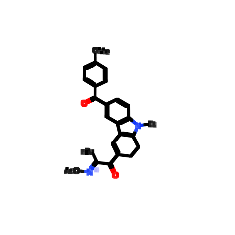 CCCC/C(=N\OC(C)=O)C(=O)C1=Cc2c(n(CC)c3ccc(C(=O)c4ccc(OC)cc4)cc23)CC1